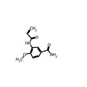 C=CC(=O)Nc1cc(C(N)=O)ccc1OC